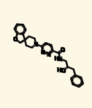 O=C(NCC(O)Cc1ccccc1)c1ccc(N2CCC3(CC2)COc2ccccc23)nn1